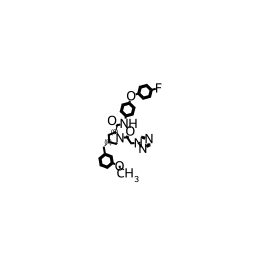 COc1cccc(C[C@@H]2C[C@@H](C(=O)Nc3ccc(Oc4ccc(F)cc4)cc3)N(C(=O)Cn3cncn3)C2)c1